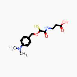 CN(C)c1ccc(COC(S)C(=O)NCCC(=O)O)cc1